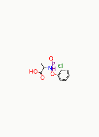 CC(C(=O)O)N(Oc1ccccc1)[PH](=O)Cl